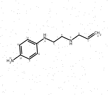 C=CCNCCNc1ccc(N)cc1